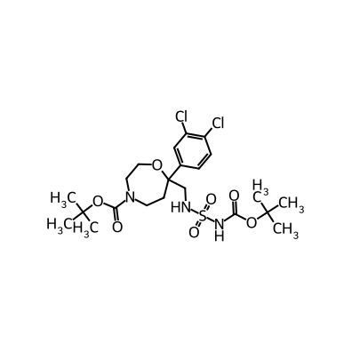 CC(C)(C)OC(=O)NS(=O)(=O)NCC1(c2ccc(Cl)c(Cl)c2)CCN(C(=O)OC(C)(C)C)CCO1